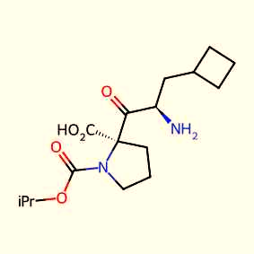 CC(C)OC(=O)N1CCC[C@]1(C(=O)O)C(=O)[C@H](N)CC1CCC1